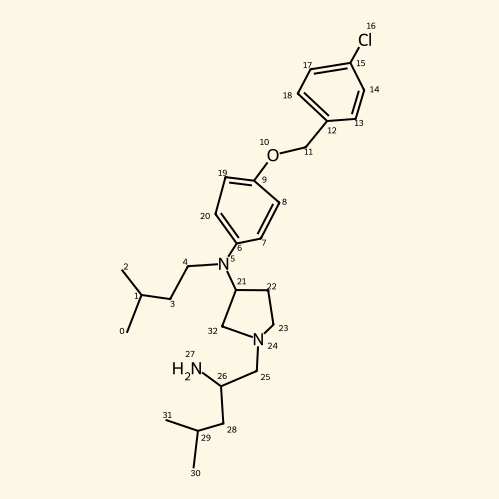 CC(C)CCN(c1ccc(OCc2ccc(Cl)cc2)cc1)C1CCN(CC(N)CC(C)C)C1